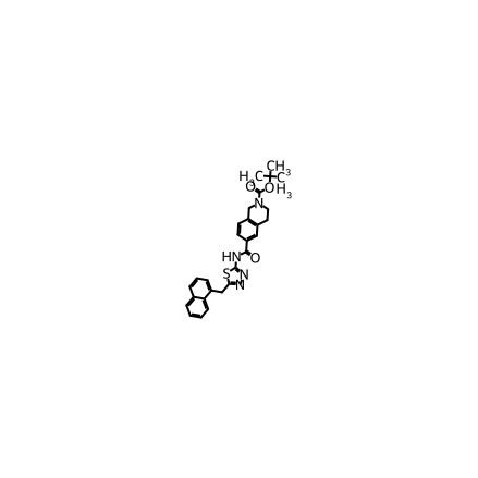 CC(C)(C)OC(=O)N1CCc2cc(C(=O)Nc3nnc(Cc4cccc5ccccc45)s3)ccc2C1